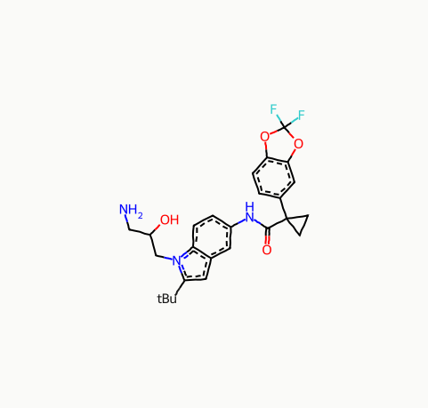 CC(C)(C)c1cc2cc(NC(=O)C3(c4ccc5c(c4)OC(F)(F)O5)CC3)ccc2n1CC(O)CN